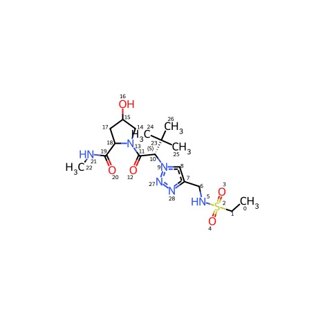 CCS(=O)(=O)NCc1cn([C@H](C(=O)N2CC(O)CC2C(=O)NC)C(C)(C)C)nn1